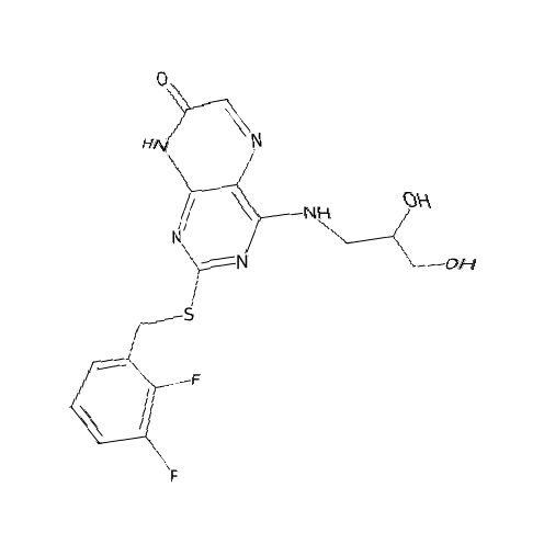 O=c1cnc2c(NCC(O)CO)nc(SCc3cccc(F)c3F)nc2[nH]1